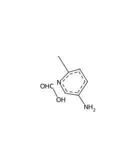 Cc1ccc(N)cn1.O=CO